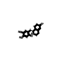 O=C1C=C2CCN[C@H](Cc3cc(O)c(O)cc3Cl)C2CC1